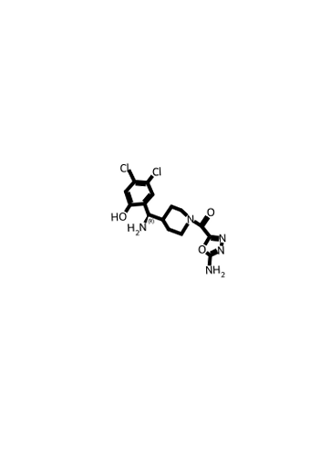 Nc1nnc(C(=O)N2CCC([C@@H](N)c3cc(Cl)c(Cl)cc3O)CC2)o1